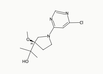 CO[C@]1(C(C)(C)O)CCN(c2cc(Cl)ncn2)C1